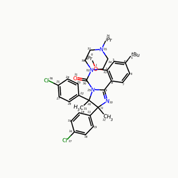 CC(C)Oc1cc(C(C)(C)C)ccc1C1=NC(C)(c2ccc(Cl)cc2)C(C)(c2ccc(Cl)cc2)N1C(=O)N1CCN(C(C)C)CC1